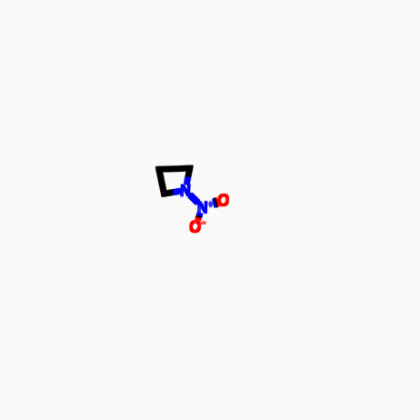 O=[N+]([O-])N1CCC1